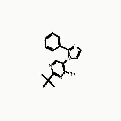 [2H]c1nc(C(C)(C)C)ncc1-n1ccnc1-c1ccccc1